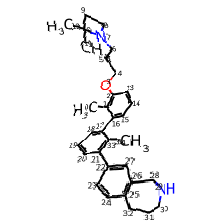 Cc1c(OCCCN2CCC2(C)C)cccc1-c1cccc(-c2ccc3c(c2)CNCCC3)c1C